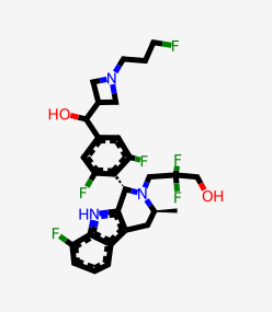 C[C@H]1Cc2c([nH]c3c(F)cccc23)[C@H](c2c(F)cc(C(O)C3CN(CCCF)C3)cc2F)N1CC(F)(F)CO